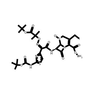 BOC(=O)C1=C(CI)C[S+]([O-])C2[C@H](NC(=O)/C(=N\OC(C)(C)C(=O)OC(C)(C)C)c3csc(NC(=O)OC(C)(C)C)n3)C(=O)N12